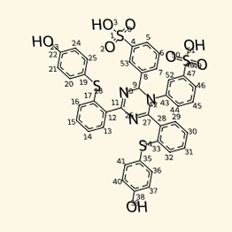 O=S(=O)(O)c1cccc(C2N=C(c3ccccc3Sc3ccc(O)cc3)N=C(c3ccccc3Sc3ccc(O)cc3)N2c2cccc(S(=O)(=O)O)c2)c1